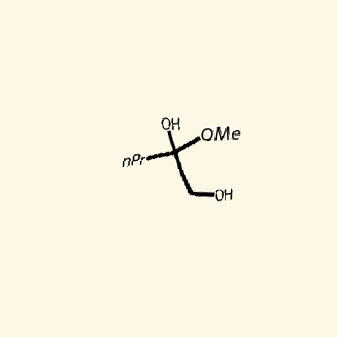 CCCC(O)(CO)OC